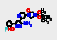 CC(C)(C)OC(=O)N1CCN(c2ccnc(-c3cc(-c4cccc(F)c4O)nnc3N)c2)C(=O)C1